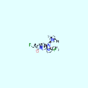 CC(=O)N[C@@H](CCN1[C@@H]2CC[C@H]1C[C@@H](n1c(C)nc3c1CCN(C(=O)CCF)C3)C2)c1cccc(F)c1